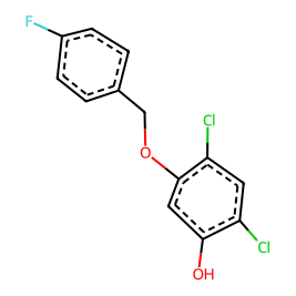 Oc1cc(OCc2ccc(F)cc2)c(Cl)cc1Cl